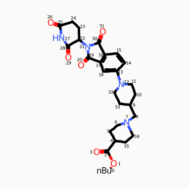 CCCCOC(=O)C1CCN(CC2CCN(c3ccc4c(c3)C(=O)N(C3CCC(=O)NC3=O)C4=O)CC2)CC1